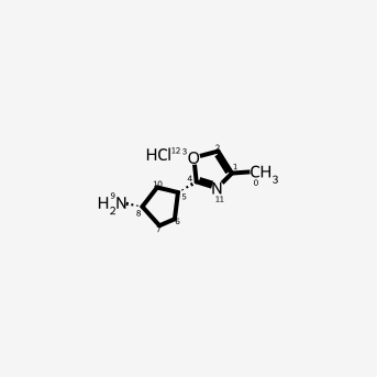 Cc1coc([C@@H]2CC[C@H](N)C2)n1.Cl